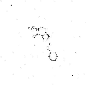 CN1CCn2nc(COc3ccccc3)cc2C1=O